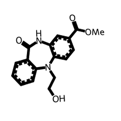 COC(=O)c1ccc2c(c1)NC(=O)c1ccccc1N2CCO